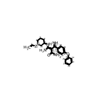 C=CSN1CCCC(N/C(N)=C(\C(=N)c2ccc(Oc3ccccc3)cc2)C(N)=O)C1